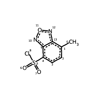 Cc1ccc(S(=O)(=O)Cl)c2nonc12